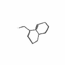 [CH2]CC1CCCC2CCCC=C12